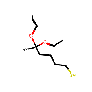 CCOC([SiH3])(CCCCS)OCC